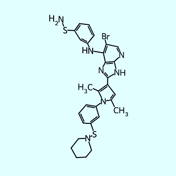 Cc1cc(-c2nc3c(Nc4cccc(SN)c4)c(Br)cnc3[nH]2)c(C)n1-c1cccc(SN2CCCCC2)c1